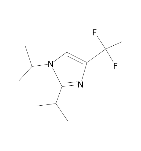 CC(C)c1nc(C(C)(F)F)cn1C(C)C